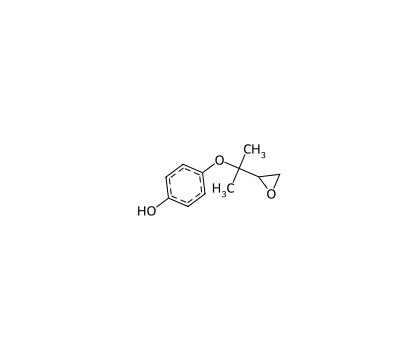 CC(C)(Oc1ccc(O)cc1)C1CO1